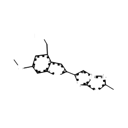 COc1cc(CO)c2cc(-c3cn4nc(C)sc4n3)oc2c1